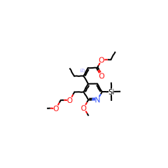 CCOC(=O)/C=C(/CC)c1cc([Si](C)(C)C)nc(OC)c1COCOC